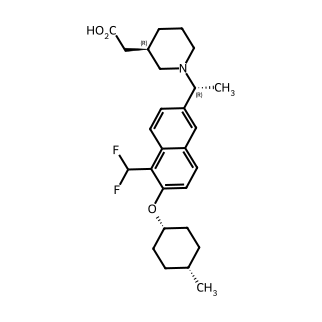 C[C@H](c1ccc2c(C(F)F)c(O[C@H]3CC[C@@H](C)CC3)ccc2c1)N1CCC[C@H](CC(=O)O)C1